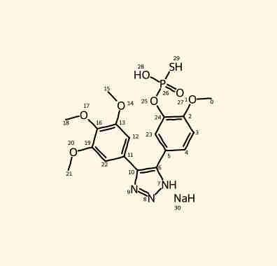 COc1ccc(-c2[nH]nnc2-c2cc(OC)c(OC)c(OC)c2)cc1OP(=O)(O)S.[NaH]